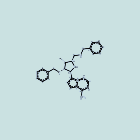 C[C@H]1[C@@H](OCc2ccccc2)[C@H](c2ccc3c(N)ncnn23)O[C@@H]1COCc1ccccc1